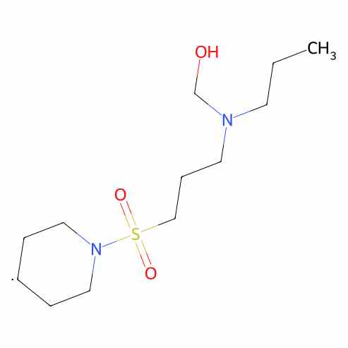 CCCN(CO)CCCS(=O)(=O)N1CC[CH]CC1